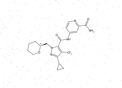 NC(=O)c1cc(NC(=O)c2c(C(F)(F)F)c(C3CC3)nn2C[C@@H]2CCCCO2)ccn1